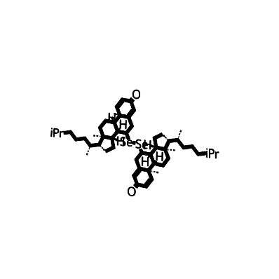 CC(C)CCC[C@@H](C)[C@H]1CC[C@H]2[C@@H]3C([Se][Se]C4CC5=CC(=O)C=C[C@]5(C)[C@H]5CC[C@]6(C)[C@@H]([C@H](C)CCCC(C)C)CC[C@H]6[C@H]45)CC4=CC(=O)C=C[C@]4(C)[C@H]3CC[C@]12C